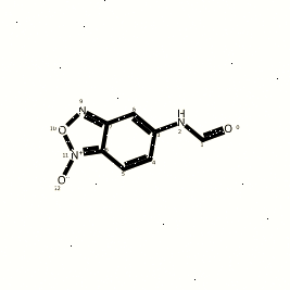 O=CNc1ccc2c(c1)no[n+]2[O-]